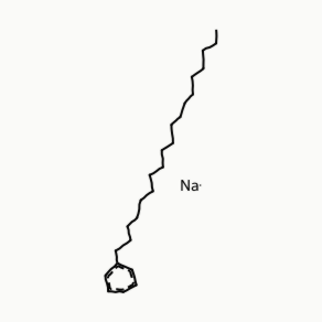 CCCCCCCCCCCCCCCCCCCc1ccccc1.[Na]